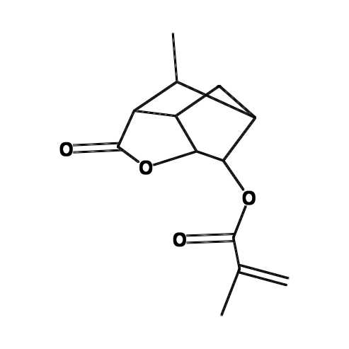 C=C(C)C(=O)OC1C2CC3C1OC(=O)C3C2C